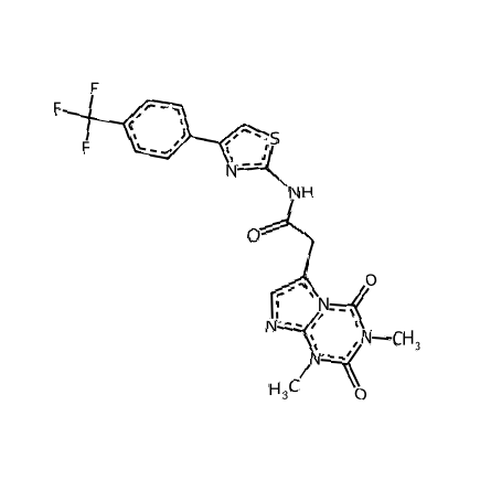 Cn1c(=O)n(C)c2ncc(CC(=O)Nc3nc(-c4ccc(C(F)(F)F)cc4)cs3)n2c1=O